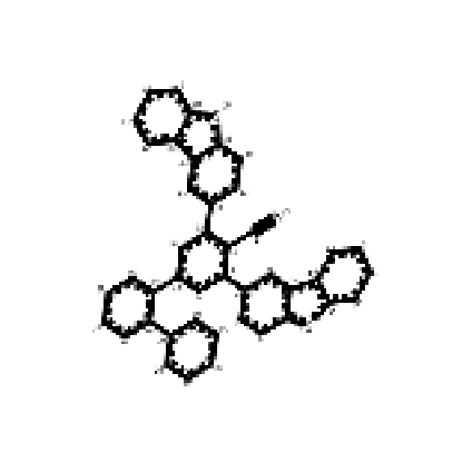 N#Cc1c(-c2ccc3sc4ccccc4c3c2)cc(-c2ccccc2-c2ccccc2)cc1-c1ccc2sc3ccccc3c2c1